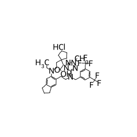 CCN(CCC1(CC(=O)O)CCCC1)c1cc2c(cc1CCN(Cc1cc(C(F)(F)F)cc(C(F)(F)F)c1)c1nnn(C)n1)CCC2.Cl